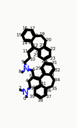 CN(C)CCC(CN(C)CCC=C1c2ccccc2CCc2ccccc21)=C1c2ccccc2CCc2ccccc21